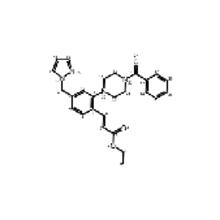 CCOC(=O)C=Cc1ccc(Cn2cccn2)cc1N1CCN(C(=O)c2ccccc2)CC1